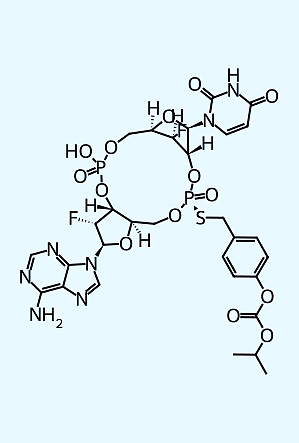 CC(C)OC(=O)Oc1ccc(CS[P@@]2(=O)OC[C@H]3O[C@@H](n4cnc5c(N)ncnc54)[C@H](F)[C@@H]3OP(=O)(O)OC[C@H]3O[C@@H](n4ccc(=O)[nH]c4=O)[C@H](O2)[C@@H]3F)cc1